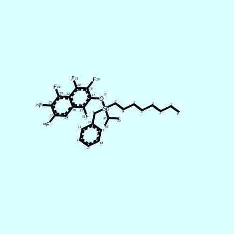 CCCCCCCC[Si](Cc1ccccc1)(Oc1c(F)c(F)c2c(F)c(F)c(F)[c]c2c1F)C(C)C